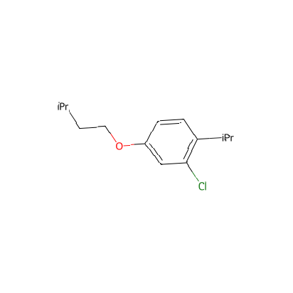 CC(C)CCOc1ccc(C(C)C)c(Cl)c1